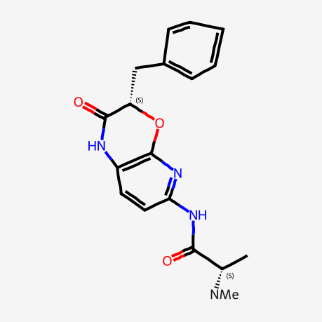 CN[C@@H](C)C(=O)Nc1ccc2c(n1)O[C@@H](Cc1ccccc1)C(=O)N2